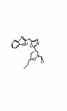 CCCCC[C@H](CN(O)C=O)c1nnc(Cc2nc3ccccc3[nH]2)o1